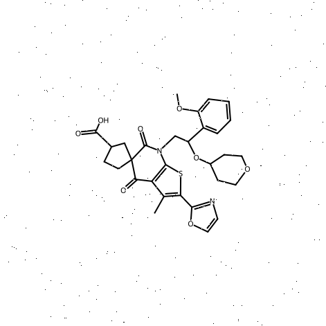 COc1ccccc1C(CN1C(=O)C2(CCC(C(=O)O)C2)C(=O)c2c1sc(-c1ncco1)c2C)OC1CCOCC1